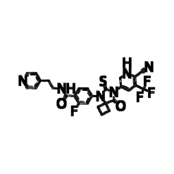 N#CC1=C(C(F)(F)F)C=C(N2C(=O)C3(CCC3)N(c3ccc(C(=O)NCCc4ccncc4)c(F)c3)C2=S)CN1